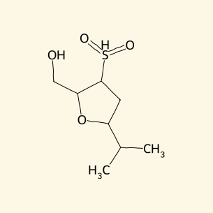 CC(C)C1CC([SH](=O)=O)C(CO)O1